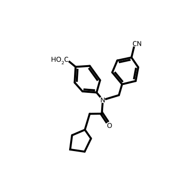 N#Cc1ccc(CN(C(=O)CC2CCCC2)c2ccc(C(=O)O)cc2)cc1